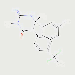 CN1C(=N)N[C@](C)(c2cccc(C(C)(C)C)c2)[C@@H](c2ccc(C(C)(F)F)cc2)C1=O